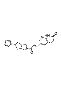 O=C1CCc2cc(/C=C/C(=O)N3CC4CC(n5cncn5)CC4C3)cnc2N1